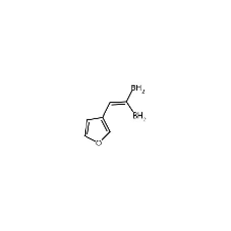 BC(B)=Cc1ccoc1